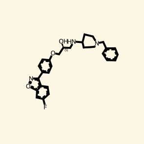 O[C@@H](CNC1CCN(Cc2ccccc2)CC1)COc1ccc(-c2noc3cc(F)ccc23)cc1